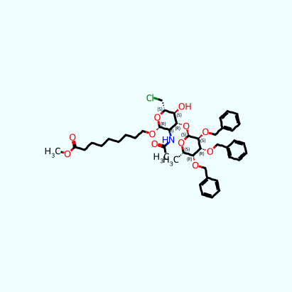 COC(=O)CCCCCCCCO[C@@H]1O[C@H](CCl)[C@@H](O)[C@H](O[C@@H]2O[C@@H](C)[C@@H](OCc3ccccc3)[C@@H](OCc3ccccc3)[C@@H]2OCc2ccccc2)[C@H]1NC(C)=O